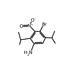 CC(C)c1cc(N)c(C(C)C)c([N+](=O)[O-])c1Br